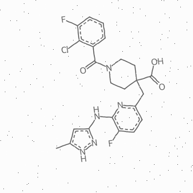 Cc1cc(Nc2nc(CC3(C(=O)O)CCN(C(=O)c4cccc(F)c4Cl)CC3)ccc2F)n[nH]1